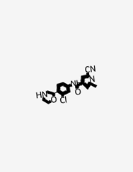 Cc1cc(C(=O)Nc2ccc([C@H]3CNCCO3)c(Cl)c2)cc(C#N)n1